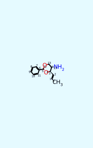 C/C=C/[C@H]1OC(c2ccccc2)OC[C@@H]1N